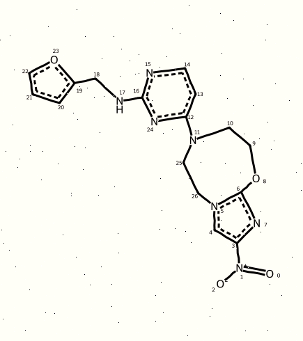 O=[N+]([O-])c1cn2c(n1)OCCN(c1ccnc(NCc3ccco3)n1)CC2